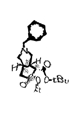 CCO[P@]1(=O)C[C@@H]2CN(Cc3ccccc3)C[C@@H]2[C@@H]1C(=O)OC(C)(C)C